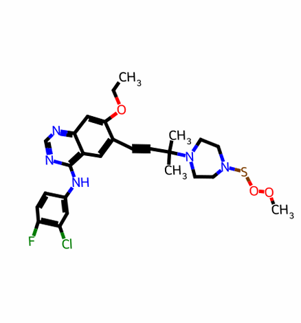 CCOc1cc2ncnc(Nc3ccc(F)c(Cl)c3)c2cc1C#CC(C)(C)N1CCN(SOOC)CC1